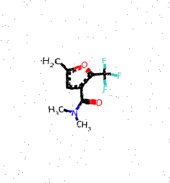 [CH2]c1cc(C(=O)N(C)C)c(C(F)(F)F)o1